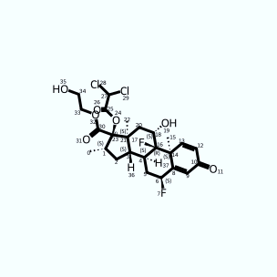 C[C@H]1C[C@H]2[C@@H]3C[C@H](F)C4=CC(=O)C=C[C@]4(C)[C@@]3(F)[C@@H](O)C[C@]2(C)[C@@]1(OC(=O)C(Cl)Cl)C(=O)OCCO